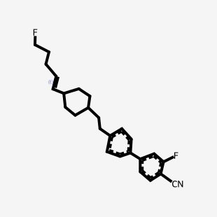 N#Cc1ccc(-c2ccc(CCC3CCC(/C=C/CCCF)CC3)cc2)cc1F